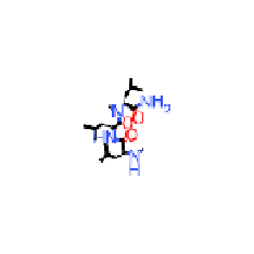 CN[C@@H](CC(C)C)C(=O)N[C@@H](CC(C)C)C(=O)N(C)[C@@H](CC(C)C)C(N)=O